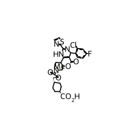 COC(=O)C1=C(C2CCN(S(=O)(=O)C[C@H]3CC[C@H](C(=O)O)CC3)CC2)NC(c2nccs2)=NC1c1ccc(F)cc1Cl